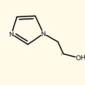 O[C]Cn1ccnc1